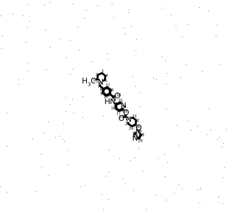 CC1CCCCN1Cc1ccc(C(=O)Nc2ccc(OC(=O)N3CCC(On4ccnc4)CC3)nc2)cc1